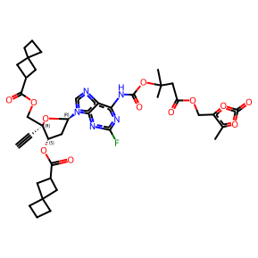 C#C[C@]1(COC(=O)C2CC3(CCC3)C2)O[C@@H](n2cnc3c(NC(=O)OC(C)(C)CC(=O)OCc4oc(=O)oc4C)nc(F)nc32)C[C@@H]1OC(=O)C1CC2(CCC2)C1